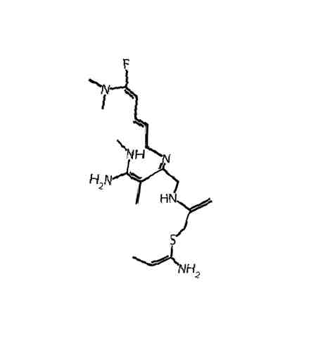 C=C(CS/C(N)=C\C)NCC(=N/C/C=C/C=C(/F)N(C)C)/C(C)=C(/N)NC